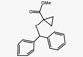 COC(=O)C1(SC(c2ccccc2)c2ccccc2)CC1